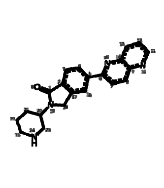 O=C1c2ccc(-c3ccc4ncccc4n3)cc2CN1C1CCCNC1